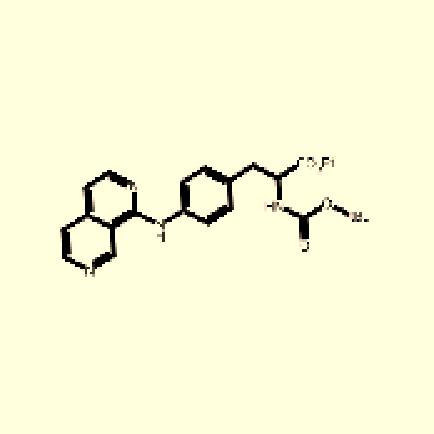 CCOC(=O)C(Cc1ccc(Nc2nccc3ccncc23)cc1)NC(=O)OC(C)(C)C